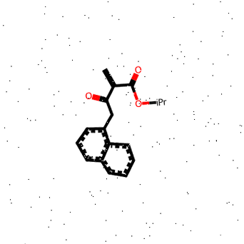 C=C(C(=O)Cc1cccc2ccccc12)C(=O)OC(C)C